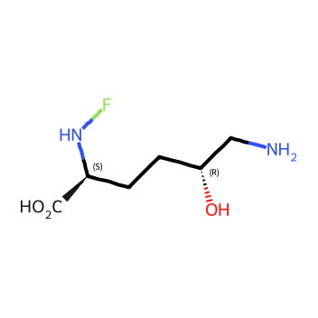 NC[C@H](O)CC[C@H](NF)C(=O)O